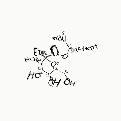 CCCCCCCC(CCCC)OO[C@]1(CC)O[C@H](CO)[C@@H](O)[C@H](O)[C@H]1O